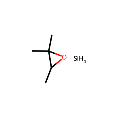 CC1OC1(C)C.[SiH4]